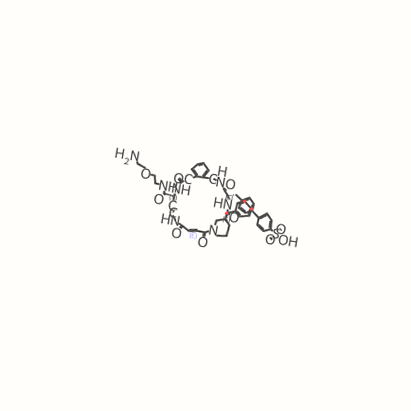 NCCOCCNC(=O)[C@@H]1CCNC(=O)/C=C/C(=O)N2CCC[C@](Cc3ccccc3)(C2)C(=O)N[C@@H](Cc2ccc(-c3ccc(S(=O)(=O)O)cc3)cc2)C(=O)NCc2ccccc2CC(=O)N1